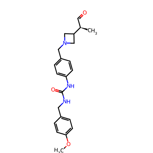 COc1ccc(CNC(=O)Nc2ccc(CN3CC([C@H](C)C=O)C3)cc2)cc1